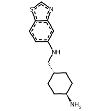 N[C@H]1CC[C@H](CNc2ccc3scnc3c2)CC1